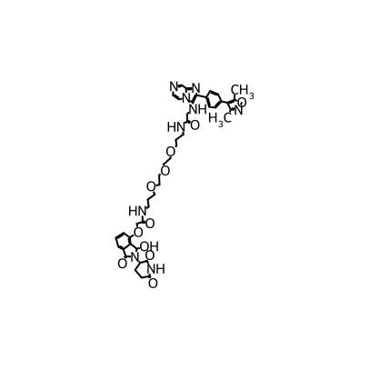 Cc1noc(C)c1-c1ccc(-c2nc3cnccn3c2NCC(=O)NCCCOCCOCCOCCCNC(=O)COc2cccc3c2C(O)N(C2CCC(=O)NC2=O)C3=O)cc1